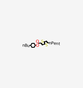 CCCCCc1cc2sc(C(=O)OC3CCC(CCCC)CC3)cc2s1